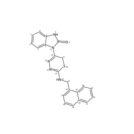 O=c1[nH]c2ccccc2n1C1=NN=C(NCc2cccc3ccccc23)SC1